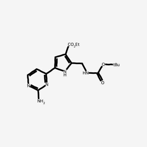 CCOC(=O)c1cc(-c2ccnc(N)n2)[nH]c1CNC(=O)OC(C)(C)C